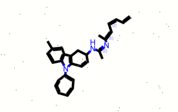 C=C\C=C/C=C(C)/N=C(/C)NC1C=Cc2c(c3cc(C)ccc3n2C2=CC=CC=C=C2)C1